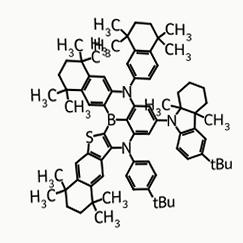 CC(C)(C)c1ccc(N2c3cc(N4c5ccc(C(C)(C)C)cc5C5(C)CCCCC45C)cc4c3B(c3cc5c(cc3N4c3ccc4c(c3)C(C)(C)CCC4(C)C)C(C)(C)CCC5(C)C)c3sc4cc5c(cc4c32)C(C)(C)CCC5(C)C)cc1